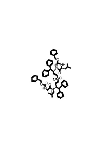 CC(C)C[C@H](NC(=O)OCc1ccccc1)C(=O)N[C@@H](C=CS(=O)(=O)C=C[C@H](NC(=O)[C@H](CC(C)C)NC(=O)OCc1ccccc1)C(c1ccccc1)c1ccccc1)C(c1ccccc1)c1ccccc1